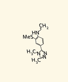 C=CNc1ccc(-c2nnc(C)n2C)cc1SC